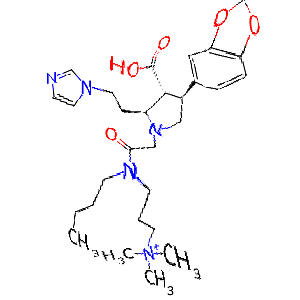 CCCCN(CCC[N+](C)(C)C)C(=O)CN1C[C@H](c2ccc3c(c2)OCO3)[C@@H](C(=O)O)[C@@H]1CCn1ccnc1